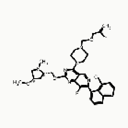 C=C(F)COCN1CCN(c2nc(OC[C@@H]3C[C@@H](OC)CN3C)nc3c(F)c(-c4cccc5cccc(Cl)c45)ncc23)CC1